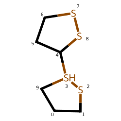 C1CS[SH](C2CCSS2)C1